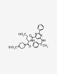 CCOC(=O)N1CCN(C(=O)C(CCC(=O)O)NC(=O)c2cc(N[C@H](C)c3ccccc3)nc(-c3ccccc3)n2)CC1